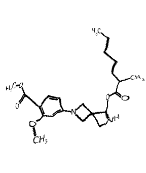 CCCCCC(C)C(=O)OC1NCC12CN(c1ccc(C(=O)OC)c(OC)c1)C2